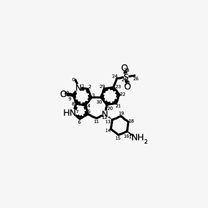 Cn1cc2c3c(c[nH]c3c1=O)CN([C@H]1CC[C@H](N)CC1)c1ccc(CS(C)(=O)=O)cc1-2